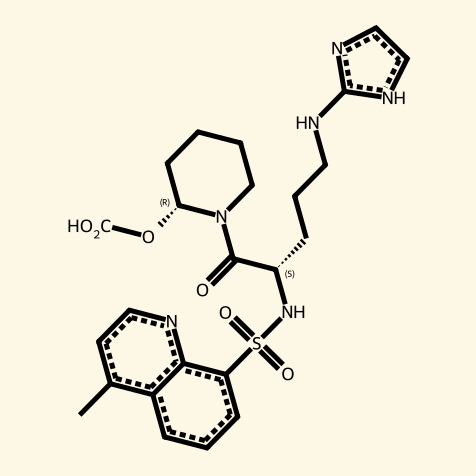 Cc1ccnc2c(S(=O)(=O)N[C@@H](CCCNc3ncc[nH]3)C(=O)N3CCCC[C@H]3OC(=O)O)cccc12